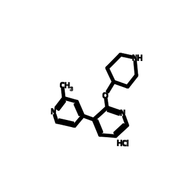 Cc1cc(-c2cccnc2OC2CCNCC2)ccn1.Cl